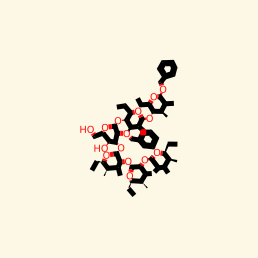 CCC1O[C@@H](OCc2ccccc2)C(C)[C@@H](C)[C@@H]1O[C@@H]1OC(CC)[C@@H](O[C@@H]2OC(CO)[C@@H](O)[C@H](O[C@H]3O[C@@H](CC)[C@@H](C)C(C)C3O[C@H]3O[C@@H](CC)[C@@H](C)C(C)C3O[C@H]3O[C@@H](CC)[C@@H](C)C(C)C3C)C2OCc2ccccc2)[C@H](C)C1C